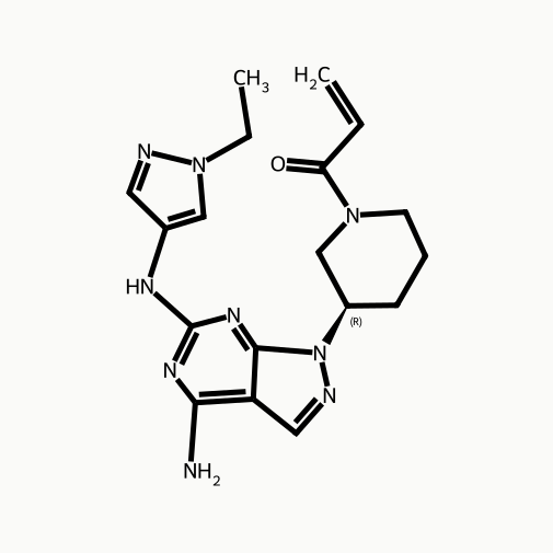 C=CC(=O)N1CCC[C@@H](n2ncc3c(N)nc(Nc4cnn(CC)c4)nc32)C1